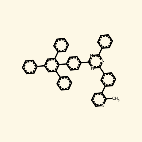 Cc1ncccc1-c1cccc(-c2nc(-c3ccccc3)nc(-c3ccc(-c4c(-c5ccccc5)cc(-c5ccccc5)cc4-c4ccccc4)cc3)n2)c1